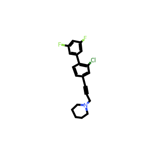 Fc1cc(F)cc(-c2ccc(C#CCN3CCCCC3)cc2Cl)c1